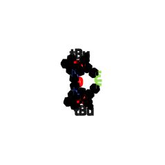 C=CC1=CCC(OC2=CCC(C3(C4=CC=C(C(C)(C)C)CC4)C4=C(CCC(N(C5C=CC6=C(C5)OC5CC(N(C7=CC8=C(CC7)C7=C(C=CCC7)C8(C7C=CC(OC8=CC=C(C=C)CC8)CC7)C7CC=C(C(C)(C)C)CC7)c7ccc(-c8cccc(-c9ccc(F)cc9)c8)cc7)C=CC65)C5CC=C(c6cccc(-c7ccc(F)cc7)c6)CC5)=C4)C4=C3CCC=C4)C=C2)C=C1